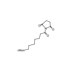 CCCCCCCCCCCCCCCC(=O)N1C(=O)CCC1=O